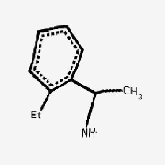 CCc1ccccc1C(C)[NH]